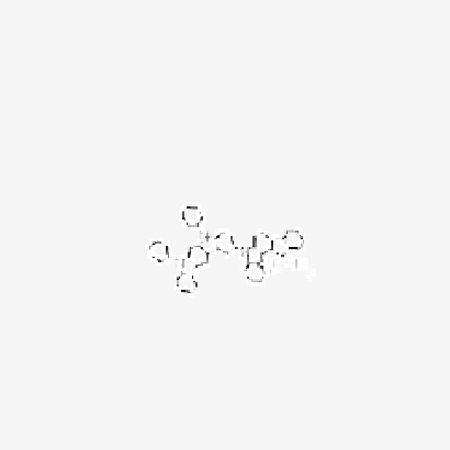 CC1(C)c2ccccc2-c2ccc3c(c21)c1ccccc1n3-c1ccc2c(c1)c1cc3c4ccccc4n(-c4ccccc4)c3cc1n2-c1ccccc1